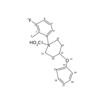 Cc1c(F)cccc1C1(C(=O)O)CCC(Oc2ccccc2)CC1